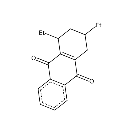 CCC1CC2=C(C(=O)c3ccccc3C2=O)C(CC)C1